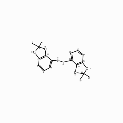 CC1(C)Oc2cccc(SSc3cccc4c3OC(C)(C)O4)c2O1